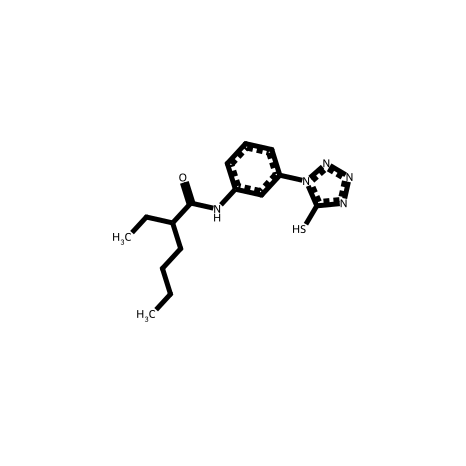 CCCCC(CC)C(=O)Nc1cccc(-n2nnnc2S)c1